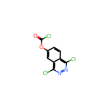 O=C(Cl)Oc1ccc2c(Cl)nnc(Cl)c2c1